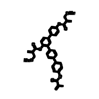 C=C(C)C(=O)Oc1ccc(-c2ccc(-c3cc(-c4ccc(OC(=O)C(=C)COC)cc4)ccc3OC(=O)C(=C)COC)cc2)cc1